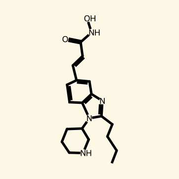 CCCCc1nc2cc(C=CC(=O)NO)ccc2n1C1CCCNC1